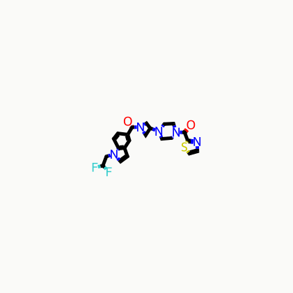 O=C(c1ccc2c(ccn2CC(F)F)c1)N1CC(N2CCN(C(=O)c3nccs3)CC2)C1